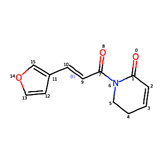 O=C1C=CCCN1C(=O)/C=C/c1ccoc1